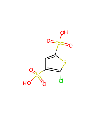 O=S(=O)(O)c1cc(S(=O)(=O)O)c(Cl)s1